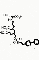 O=C(O)C[N]C(COP(=O)(O)OCCc1ccc(-c2ccccc2)cc1)CN(CCCNC(C(=O)O)C(=O)O)CC(=O)O